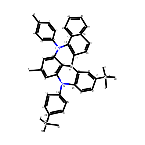 Cc1ccc(N2c3cc(C)cc4c3B(c3cc([Si](C)(C)C)ccc3N4c3ccc([Si](C)(C)C)cc3)c3ccc4ccccc4c32)cc1